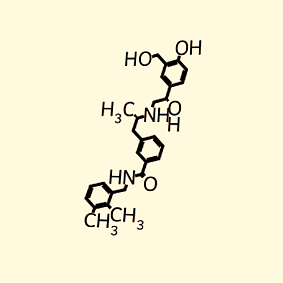 Cc1cccc(CNC(=O)c2cccc(C[C@@H](C)NC[C@H](O)c3ccc(O)c(CO)c3)c2)c1C